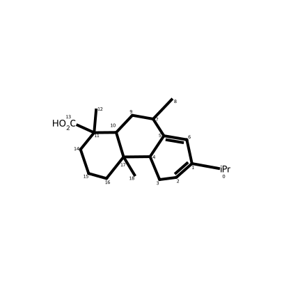 CC(C)C1=CCC2C(=C1)C(C)CC1C(C)(C(=O)O)CCCC21C